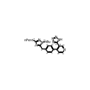 CCCCCc1nc(Cc2ccc(-c3ccncc3-c3nnn[nH]3)cc2)n(CCCC)n1